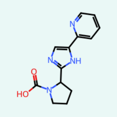 O=C(O)N1CCCC1c1ncc(-c2ccccn2)[nH]1